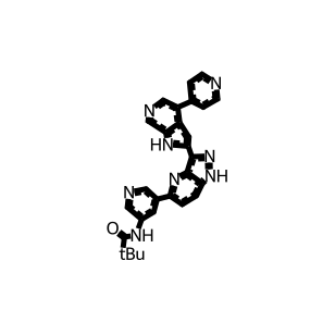 CC(C)(C)C(=O)Nc1cncc(-c2ccc3[nH]nc(-c4cc5c(-c6ccncc6)cncc5[nH]4)c3n2)c1